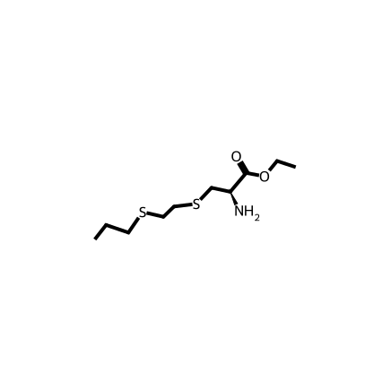 CCCSCCSC[C@H](N)C(=O)OCC